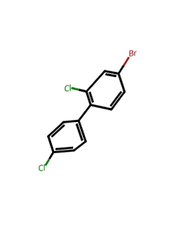 Clc1ccc(-c2ccc(Br)cc2Cl)cc1